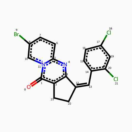 O=c1c2c(nc3ccc(Br)cn13)/C(=C\c1ccc(Cl)cc1Cl)CC2